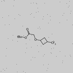 CC(C)(C)OC(=O)COC1CC(C(F)(F)F)C1